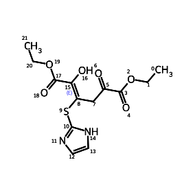 CCOC(=O)C(=O)C/C(Sc1ncc[nH]1)=C(\O)C(=O)OCC